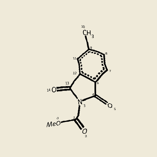 COC(=O)N1C(=O)c2ccc(C)cc2C1=O